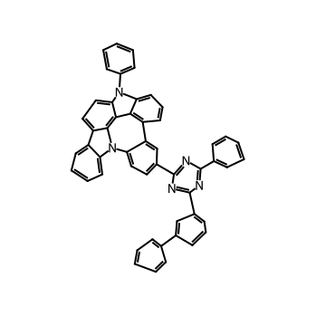 c1ccc(-c2cccc(-c3nc(-c4ccccc4)nc(-c4ccc5c(c4)c4cccc6c4c4c(ccc7c8ccccc8n5c74)n6-c4ccccc4)n3)c2)cc1